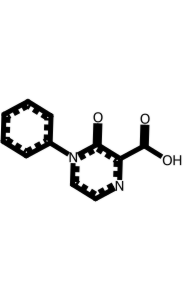 O=C(O)c1nccn(-c2ccccc2)c1=O